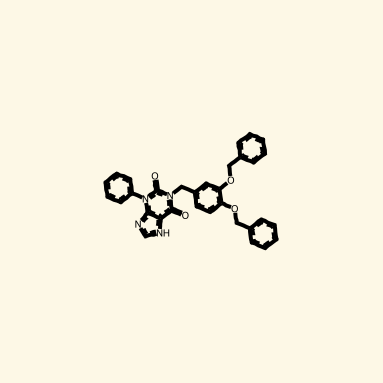 O=c1c2[nH]cnc2n(-c2ccccc2)c(=O)n1Cc1ccc(OCc2ccccc2)c(OCc2ccccc2)c1